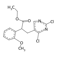 CCOC(=O)C(Cc1cnc(Cl)nc1Cl)c1ccccc1OC